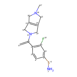 C=C(c1ccc(SN)cc1F)N1CC2=C(CN(C)C2)C1